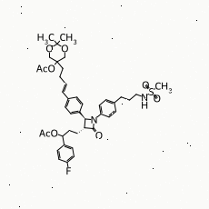 CC(=O)OC(CC[C@H]1C(=O)N(c2ccc(CCCNS(C)(=O)=O)cc2)[C@@H]1c1ccc(C=CCCC2(OC(C)=O)COC(C)(C)OC2)cc1)c1ccc(F)cc1